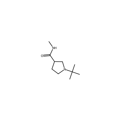 CNC(=O)C1CCN(C(C)(C)C)C1